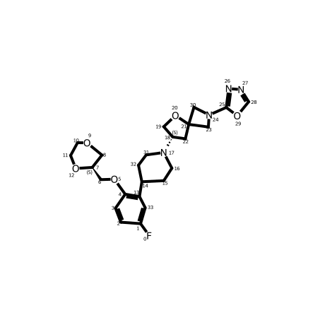 Fc1ccc(OC[C@@H]2COCCO2)c(C2CCN([C@@H]3COC4(C3)CN(c3nnco3)C4)CC2)c1